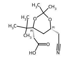 CC1(C)O[C@H](CC#N)C[C@@](CC(=O)O)(C(C)(C)C)O1